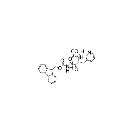 O=C(NNC(=O)C(Cc1cccnc1)NC(=O)C(=O)O)OCC1c2ccccc2-c2ccccc21